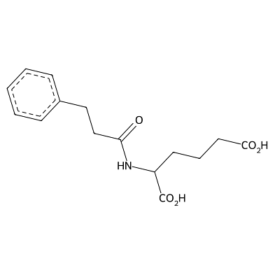 O=C(O)CCCC(NC(=O)CCc1ccccc1)C(=O)O